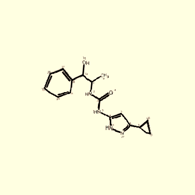 CC(NC(=O)Nc1cc(C2CC2)n[nH]1)C(O)c1ccccc1